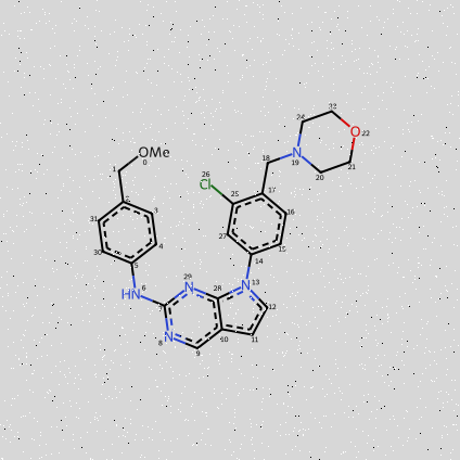 COCc1ccc(Nc2ncc3ccn(-c4ccc(CN5CCOCC5)c(Cl)c4)c3n2)cc1